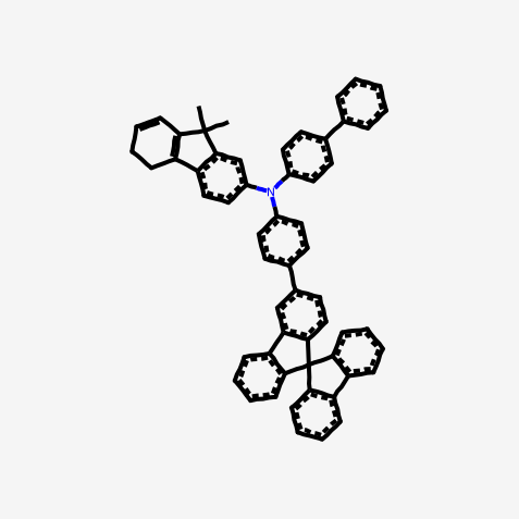 CC1(C)C2=C(CCC=C2)c2ccc(N(c3ccc(-c4ccccc4)cc3)c3ccc(-c4ccc5c(c4)-c4ccccc4C54c5ccccc5-c5ccccc54)cc3)cc21